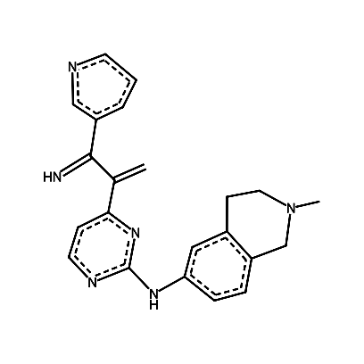 C=C(C(=N)c1cccnc1)c1ccnc(Nc2ccc3c(c2)CCN(C)C3)n1